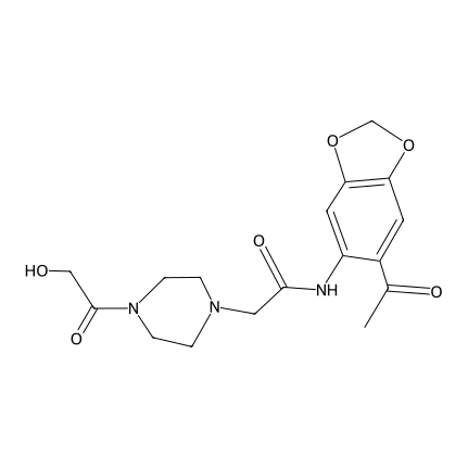 CC(=O)c1cc2c(cc1NC(=O)CN1CCN(C(=O)CO)CC1)OCO2